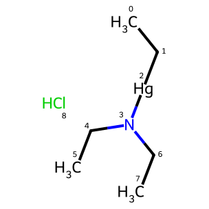 C[CH2][Hg][N](CC)CC.Cl